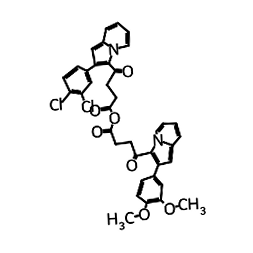 COc1ccc(-c2cc3ccccn3c2C(=O)CCC(=O)OC(=O)CCC(=O)c2c(-c3ccc(Cl)c(Cl)c3)cc3ccccn23)cc1OC